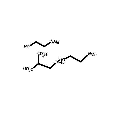 CCCCCCCCCCCC(C(=O)O)C(=O)O.CNCCO.CNCCO